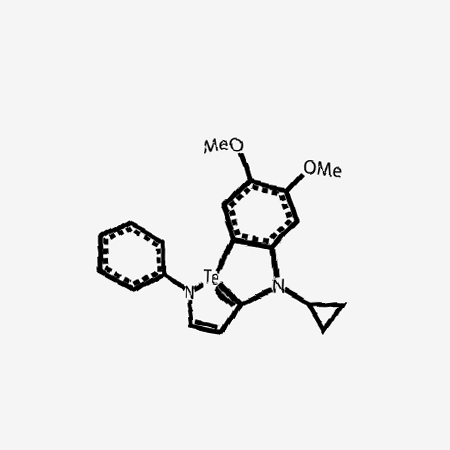 COc1cc2c(cc1OC)[Te]1=C(C=CN1c1ccccc1)N2C1CC1